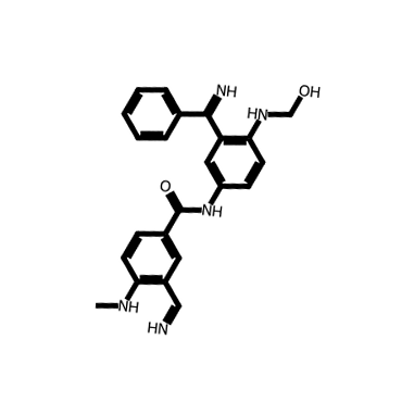 CNc1ccc(C(=O)Nc2ccc(NCO)c(C(=N)c3ccccc3)c2)cc1C=N